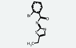 CCC1=C[N]C(=NC(=O)c2ccccc2Br)S1